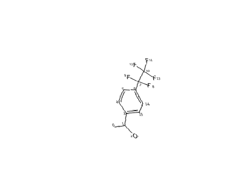 CC([O])c1ccc(C(F)(F)C(F)(F)F)cc1